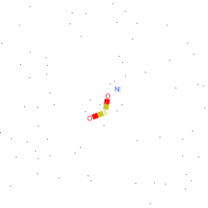 O=S=O.[N]